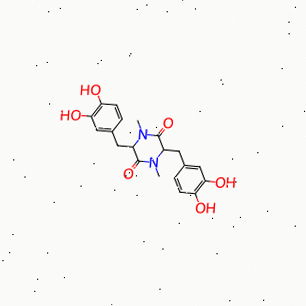 CN1C(=O)C(Cc2ccc(O)c(O)c2)N(C)C(=O)C1Cc1ccc(O)c(O)c1